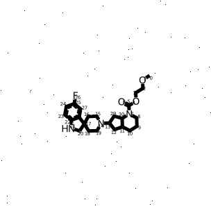 COCCOC(=O)N1CCCC2CC(N3CCC4(CC3)CNc3ccc(F)cc34)CC21